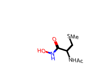 CSCC(NC(C)=O)C(=O)NO